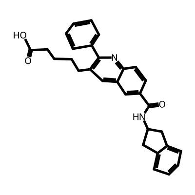 O=C(O)CCCCc1cc2cc(C(=O)NC3Cc4ccccc4C3)ccc2nc1-c1ccccc1